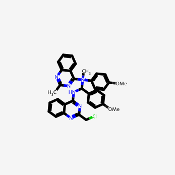 COc1ccc(C(Nc2nc(CCl)nc3ccccc23)[N+](C)(c2ccc(OC)cc2)c2nc(C)nc3ccccc23)cc1